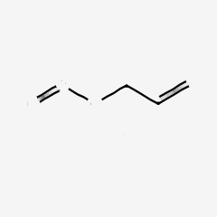 C=CCOP=O.[Cd]